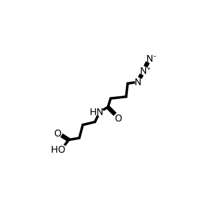 [N-]=[N+]=NCCCC(=O)NCCCC(=O)O